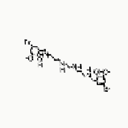 COc1cc(Br)cc(CNCCCNCCNCCCNCc2cc(Br)cc(OC)c2O)c1O